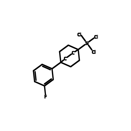 Fc1cccc(C23CCC([Si](Cl)(Cl)Cl)(CC2)CC3)c1